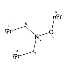 CCCON(CC(C)C)CC(C)C